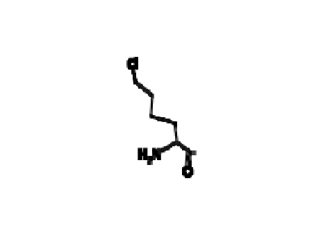 NC([C]=O)CCCCCl